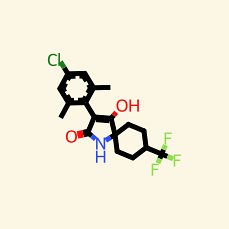 Cc1cc(Cl)cc(C)c1C1=C(O)C2(CCC(C(F)(F)F)CC2)NC1=O